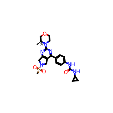 C[C@H]1COCCN1c1nc2c(c(-c3ccc(NC(=O)NC4CC4)cc3)n1)CN(S(C)(=O)=O)C2